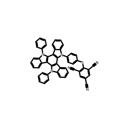 N#Cc1cc(C#N)c(Sc2ccc(-n3c4ccccc4c4c5c(c6ccccc6n5-c5ccccc5)c5c(c6ccccc6n5-c5ccccc5)c43)cc2)c(C#N)c1